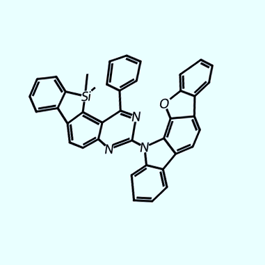 C[Si]1(C)c2ccccc2-c2ccc3nc(-n4c5ccccc5c5ccc6c7ccccc7oc6c54)nc(-c4ccccc4)c3c21